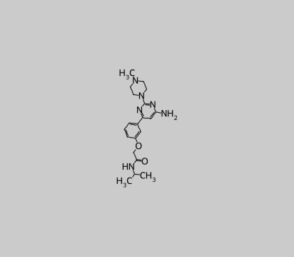 CC(C)NC(=O)COc1cccc(-c2cc(N)nc(N3CCN(C)CC3)n2)c1